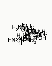 NC[C@@H]1O[C@H](O[C@H]2[C@@H](O)[C@H](O[C@@H]3[C@@H](O)[C@H](NC(=O)[C@@H](O)C(F)(F)CN)C[C@H](N)[C@H]3O[C@H]3O[C@H](CNCC4(O)CCNCC4)C=C[C@H]3N)O[C@@H]2CO)[C@H](N)[C@@H](O)[C@@H]1O